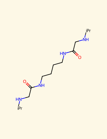 CC(C)NCC(=O)NCCCCNC(=O)CNC(C)C